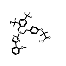 COc1ccccc1-c1csc(N(CCc2ccc(OC(C)(C)C(=O)O)cc2)Cc2ccc(C(F)(F)F)cc2C(F)(F)F)n1